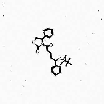 CC(C)(C)[Si](C)(C)OC(CCCC(=O)N1C(=O)OCC1c1ccccc1)c1ccccc1